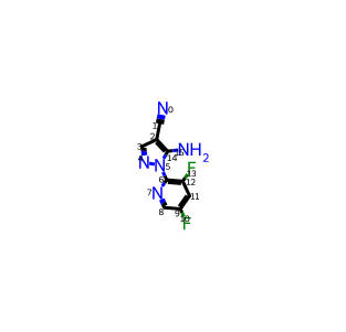 N#Cc1cnn(-c2ncc(F)cc2F)c1N